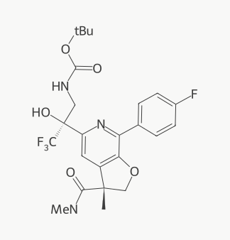 CNC(=O)[C@@]1(C)COc2c1cc([C@@](O)(CNC(=O)OC(C)(C)C)C(F)(F)F)nc2-c1ccc(F)cc1